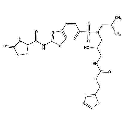 CC(C)CN(C[C@@H](O)CNC(=O)OCc1cncs1)S(=O)(=O)c1ccc2nc(NC(=O)C3CCC(=O)N3)sc2c1